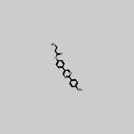 CCCCc1ccc(-c2ncc(-c3ccc(OC(=O)CCC(C)CC)cc3)cn2)cc1